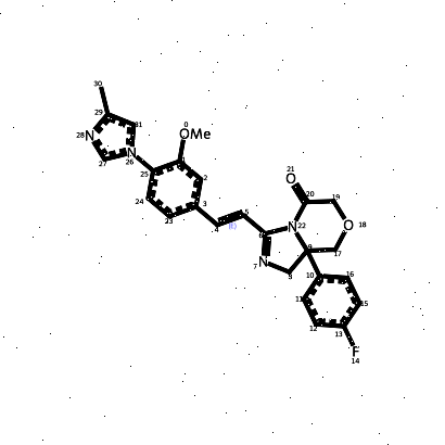 COc1cc(/C=C/C2=NCC3(c4ccc(F)cc4)COCC(=O)N23)ccc1-n1cnc(C)c1